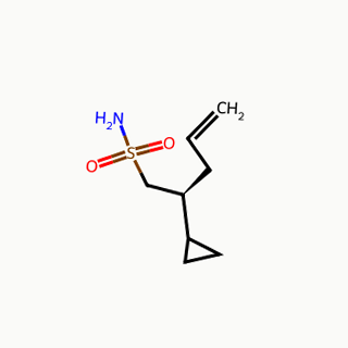 C=CC[C@H](CS(N)(=O)=O)C1CC1